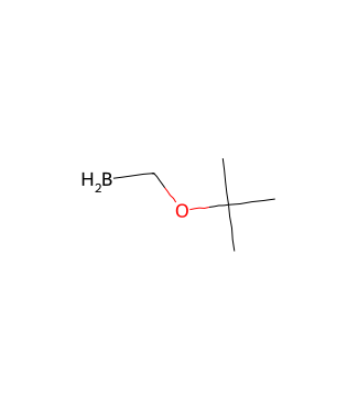 BCOC(C)(C)C